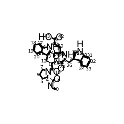 C=NC(=O)[C@@H]1CCCN1C(=O)[C@@H](Cc1c[nH]c2ccccc12)NC(=O)[C@H](Cc1c[nH]c2ccccc12)NC(=O)CCC(=O)O